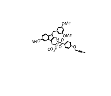 CC#CCOc1ccc(S(=O)(=O)N[C@@H](Cc2c(C)n(Cc3cc(OC)cc(OC)c3)c3ccc(OC)cc23)C(=O)O)cc1